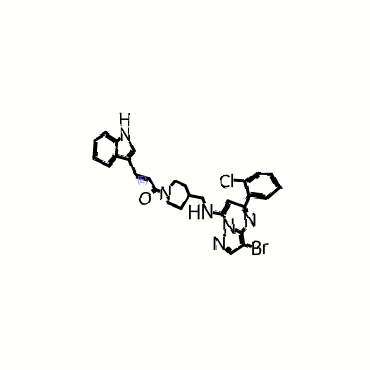 O=C(/C=C/c1c[nH]c2ccccc12)N1CCC(CNc2cc(-c3ccccc3Cl)nc3c(Br)cnn23)CC1